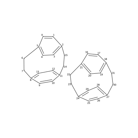 c1cc2ccc1CCc1ccc(cc1)CC2.c1cc2ccc1CCc1ccc(cc1)CC2